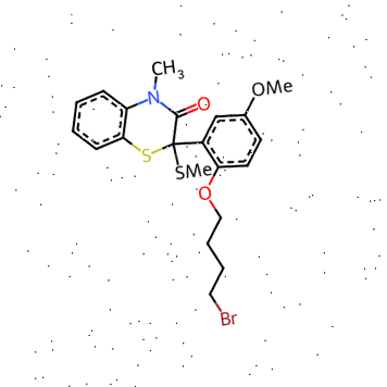 COc1ccc(OCCCCBr)c(C2(SC)Sc3ccccc3N(C)C2=O)c1